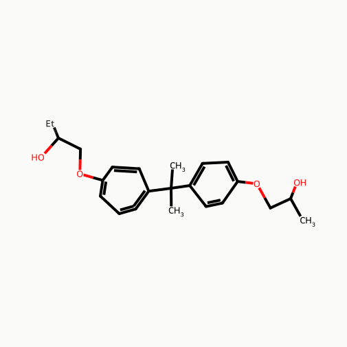 CCC(O)COC1=CC=C=C(C(C)(C)c2ccc(OCC(C)O)cc2)C=C1